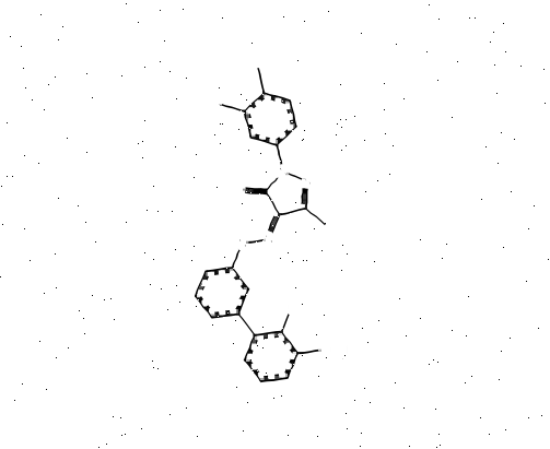 CC1=NN(c2ccc(C)c(Cl)c2)C(=O)C1=NNc1cccc(-c2cccc(C(=O)O)c2O)c1